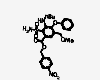 CCCCNc1c(Oc2ccccc2)c(COC)cc(C(=O)OCc2ccc([N+](=O)[O-])cc2)c1S(N)(=O)=O